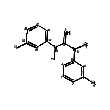 CCc1cccc(N(CC)C(=N)N(C)c2cccc(C)c2)c1